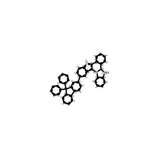 c1ccc(C2(c3ccccc3)c3ccccc3-c3ccc(-c4ccc5oc6c(c5c4)N4c5ccccc5NC4c4ccccc4-6)cc32)cc1